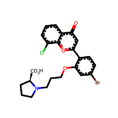 O=C(O)[C@@H]1CCCN1CCCOc1cc(Br)ccc1-c1cc(=O)c2cccc(Cl)c2o1